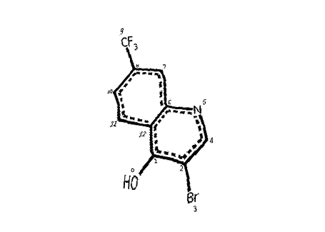 Oc1c(Br)cnc2cc(C(F)(F)F)ccc12